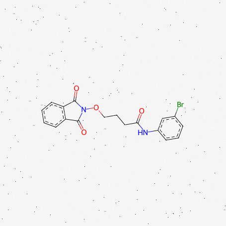 O=C(CCCON1C(=O)c2ccccc2C1=O)Nc1cccc(Br)c1